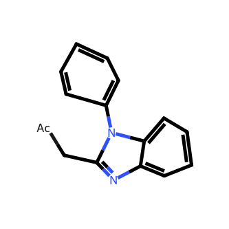 CC(=O)Cc1nc2ccccc2n1-c1ccccc1